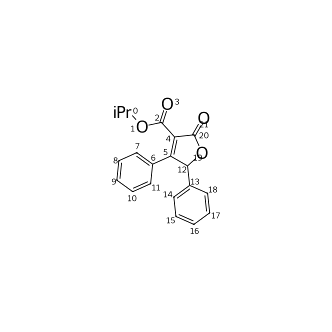 CC(C)OC(=O)C1=C(c2ccccc2)C(c2ccccc2)OC1=O